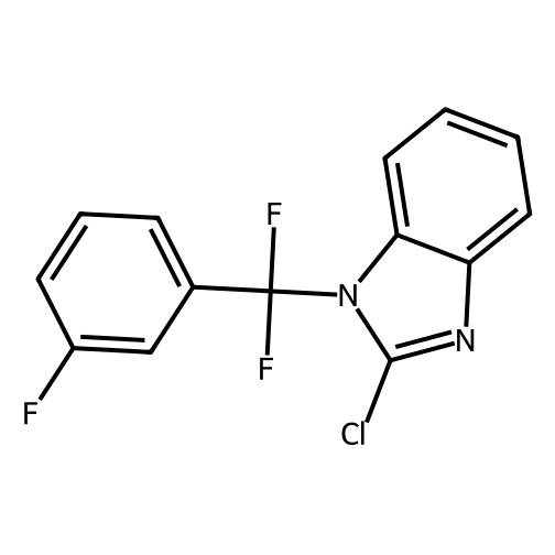 Fc1cccc(C(F)(F)n2c(Cl)nc3ccccc32)c1